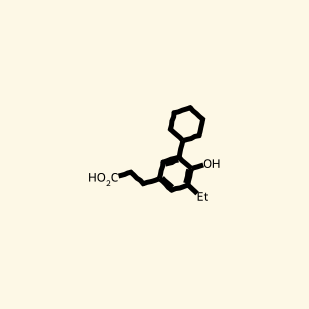 CCc1cc(CCC(=O)O)cc(C2CCCCC2)c1O